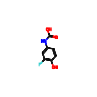 O=C(O)Nc1ccc(O)c(F)c1